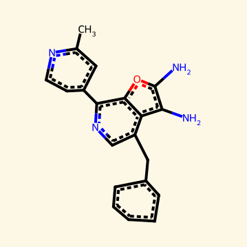 Cc1cc(-c2ncc(Cc3ccccc3)c3c(N)c(N)oc23)ccn1